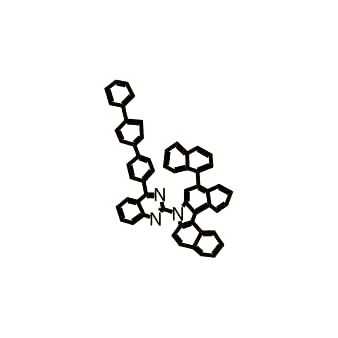 c1ccc(-c2ccc(-c3ccc(-c4nc(-n5c6ccc7ccccc7c6c6c7ccccc7c(-c7cccc8ccccc78)cc65)nc5ccccc45)cc3)cc2)cc1